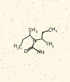 CCC(C)N(C([NH])=O)C(C)CC